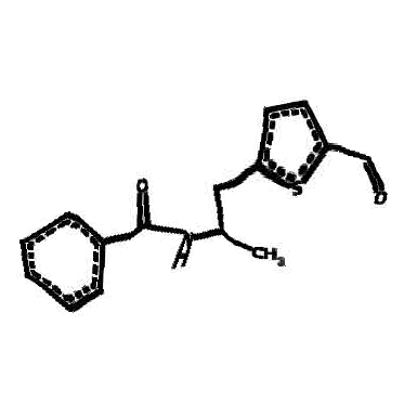 CC(Cc1ccc(C=O)s1)NC(=O)c1ccccc1